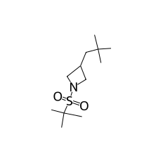 CC(C)(C)CC1CN(S(=O)(=O)C(C)(C)C)C1